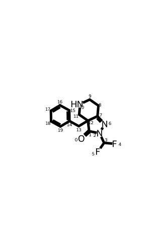 O=C1N(C(F)F)N=C2CCNCC12Cc1ccccc1